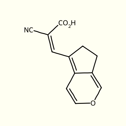 N#CC(=CC1=C2C=COC=C2CC1)C(=O)O